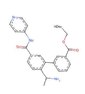 CCCCCCCCCCCOC(=O)c1cccc(-c2cc(C(=O)Nc3ccncc3)ccc2C(C)N)c1